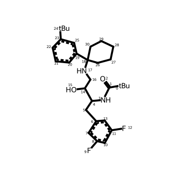 CC(C)(C)C(=O)NC(Cc1cc(F)cc(F)c1)C(O)CNC1(c2cccc(C(C)(C)C)c2)CCCCC1